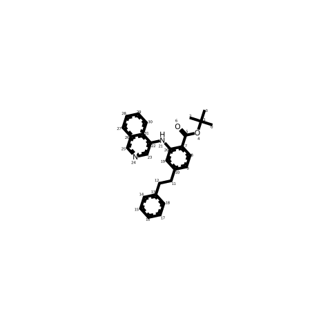 CC(C)(C)OC(=O)c1ccc(CCc2ccccc2)cc1Nc1cncc2ccccc12